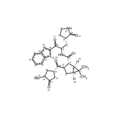 CC1(C)[C@@H]2[C@@H](C(=O)NC(C[C@@H]3CCNC3=O)C(=O)c3nc4ccccc4s3)N(C(=O)[C@@H]3CC(=O)N(C(C)(C)C)C3)C[C@@H]21